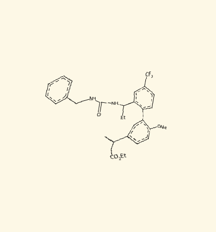 CCOC(=O)C(C)c1ccc(OC)c(-c2ccc(C(F)(F)F)cc2C(CC)NC(=O)NCc2ccccc2)c1